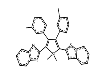 Cc1cccc(C2=C(c3nc4ccccc4s3)[Si](C)(C)C(c3nc4ccccc4s3)=C2c2cccc(C)c2)c1